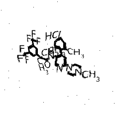 Cc1ccccc1-c1cc(N2CCN(C)CC2)ncc1N(C)C(=O)C(C)(C)c1cc(C(F)(F)F)cc(C(F)(F)F)c1.Cl